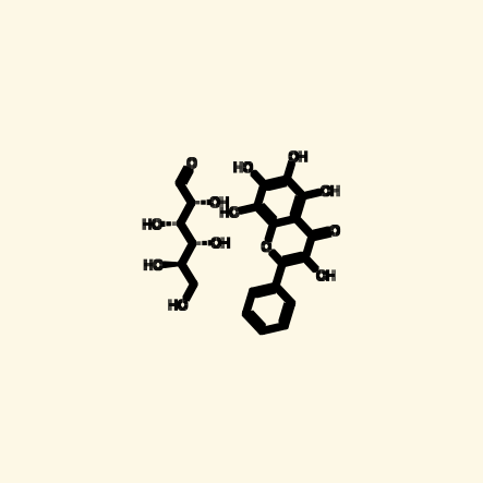 O=C[C@H](O)[C@@H](O)[C@H](O)[C@H](O)CO.O=c1c(O)c(-c2ccccc2)oc2c(O)c(O)c(O)c(O)c12